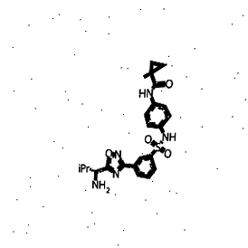 CC(C)[C@H](N)c1nc(-c2cccc(S(=O)(=O)Nc3ccc(NC(=O)C4(C)CC4)cc3)c2)no1